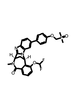 CN1C(=O)c2cccc(OC(F)F)c2[C@H]2C[C@@H]1c1nc3ccc(-c4ccc(OCP(C)(C)=O)cc4)cc3n12